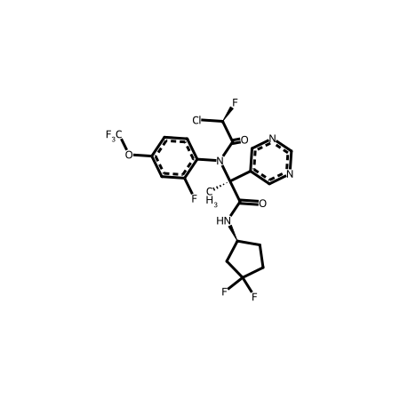 C[C@@](C(=O)N[C@H]1CCC(F)(F)C1)(c1cncnc1)N(C(=O)[C@H](F)Cl)c1ccc(OC(F)(F)F)cc1F